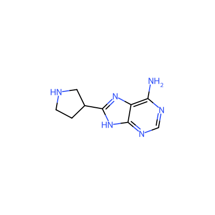 Nc1ncnc2[nH]c(C3CCNC3)nc12